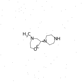 CN1CCOC[C@H](N2CCNCC2)C1